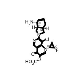 N[C@@H]1C=CC[C@@H]2CN(c3ncc4c(=O)c(OC(=O)O)cn([C@@H]5C[C@@H]5F)c4c3Cl)C[C@@H]21